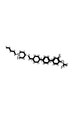 CCCCC[Si@H]1CC[C@H](CCC2CCC(c3ccc(-c4ccc(OC(F)F)c(F)c4)cc3)CC2)CC1